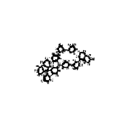 c1ccc(-c2cccc(-c3cccc(N(c4ccc(-c5cccc(-c6cccc7ccccc67)c5)cc4)c4ccc5c(c4)C(c4ccccc4)(c4ccccc4)c4ccccc4-5)c3)c2)cc1